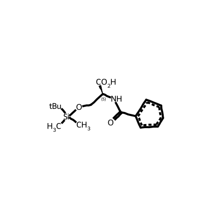 CC(C)(C)[Si](C)(C)OC[C@H](NC(=O)c1ccccc1)C(=O)O